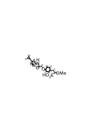 COC(Cc1ccc(OCC(=O)Nc2nnc(C3CC3)s2)cc1)C(=O)O